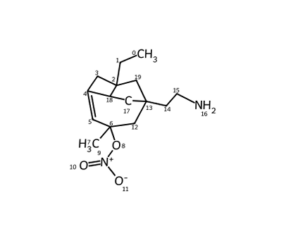 CCC12CC3=CC(C)(O[N+](=O)[O-])CC(CCN)(CC31)C2